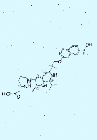 CC(C)[C@H](NC(=O)C(C)(C)COc1cc2cc([C@@H](C)O)ccc2cn1)C(=O)N[C@@H](C)C(=O)N1CCC[C@@H](C2OC2O)N1